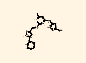 Cc1cc(Nc2cc(C(C)C)n[nH]2)nc(NCc2cc(-c3ccccc3)no2)n1